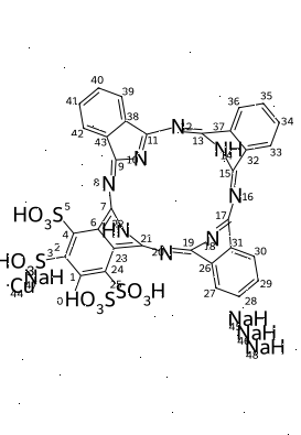 O=S(=O)(O)c1c(S(=O)(=O)O)c(S(=O)(=O)O)c2c3nc4nc(nc5[nH]c(nc6nc(nc([nH]3)c2c1S(=O)(=O)O)-c1ccccc1-6)c1ccccc51)-c1ccccc1-4.[Cu].[NaH].[NaH].[NaH].[NaH]